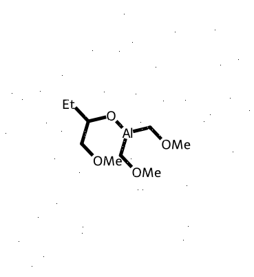 CCC(COC)[O][Al]([CH2]OC)[CH2]OC